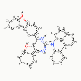 c1ccc2c(c1)-c1cccc3cccc(c13)N2c1nc(-c2ccc3oc4ccccc4c3c2)c2oc3ccccc3c2n1